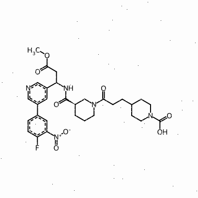 COC(=O)CC(NC(=O)[C@@H]1CCCN(C(=O)CCC2CCN(C(=O)O)CC2)C1)c1cncc(-c2ccc(F)c([N+](=O)[O-])c2)c1